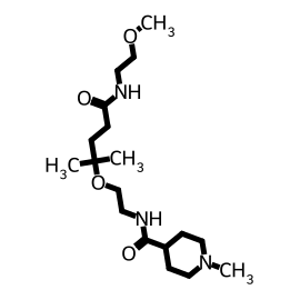 COCCNC(=O)CCC(C)(C)OCCNC(=O)C1CCN(C)CC1